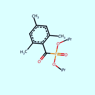 Cc1cc(C)c(C(=O)P(=O)(OC(C)C)OC(C)C)c(C)c1